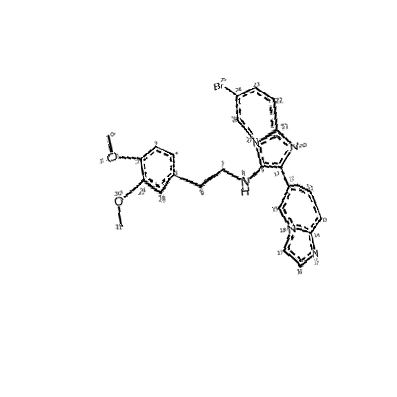 COc1ccc(CCNc2c(-c3ccc4nccn4c3)nc3ccc(Br)cn23)cc1OC